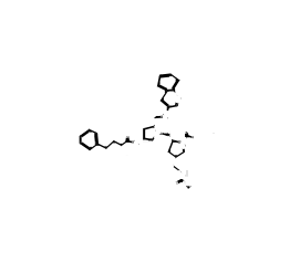 CC(C)(C)OC(=O)NC[C@@H]1C[C@@H](C(=O)N2C[C@H](NC(=O)[C@H](O)CCc3ccccc3)C[C@H]2C(=O)Nc2cnc3ccccc3c2)N(C(=O)OC(C)(C)C)C1